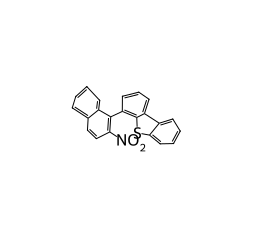 O=[N+]([O-])c1ccc2ccccc2c1-c1cccc2c1sc1ccccc12